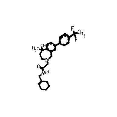 CC(F)(F)c1ccc(-c2ccc3c(c2)CN(CC(=O)NCC2CCCCC2)CCC3(C)C)cc1